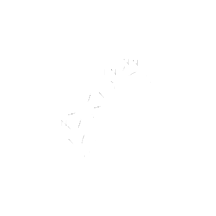 Cn1nc(NC(=O)Cc2ccc(Oc3ccnc4ccc(S(C)(=O)=O)cc34)cc2F)cc1C1CC1